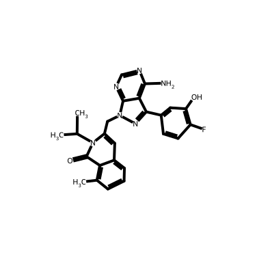 Cc1cccc2cc(Cn3nc(-c4ccc(F)c(O)c4)c4c(N)ncnc43)n(C(C)C)c(=O)c12